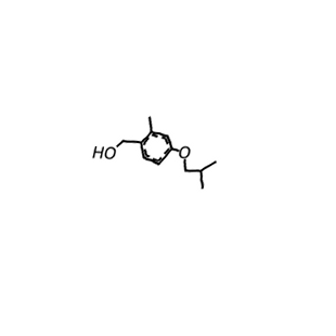 Cc1cc(OCC(C)C)ccc1CO